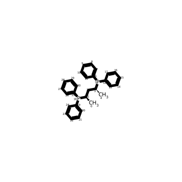 C[C@H](C[C@@H](C)P(c1ccccc1)c1ccccc1)P(c1ccccc1)c1ccccc1